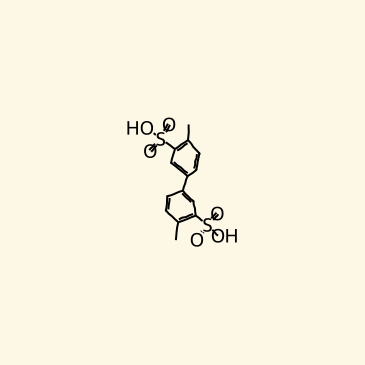 Cc1ccc(-c2ccc(C)c(S(=O)(=O)O)c2)cc1S(=O)(=O)O